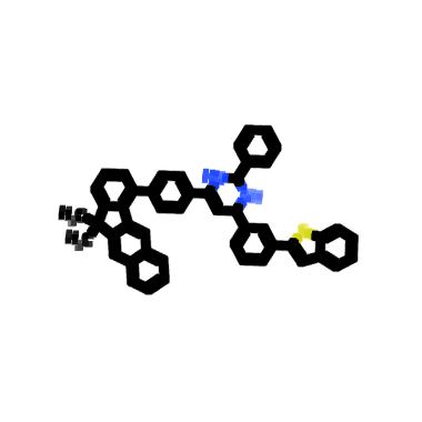 CC1(C)c2cc3ccccc3cc2-c2c(-c3ccc(C4=CC(c5cccc(-c6cc7ccccc7s6)c5)NC(c5ccccc5)N4)cc3)cccc21